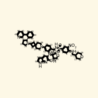 O=C(NS(=O)(=O)c1ccc(NCC2CCOCC2)c([N+](=O)[O-])c1)c1ccc(N2CCC3(CC2)CC(N2CCC[C@H]2c2ccccc2-c2cccnc2)C3)cc1N1c2cc3cc[nH]c3nc2O[C@@H]2COC[C@H]21